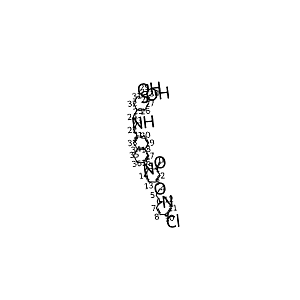 O=c1cc(OCc2ccc(Cl)cn2)ccn1C1=Cc2ccc(CNCC3CCS(O)(O)CC3)cc2CC1